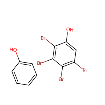 Oc1cc(Br)c(Br)c(Br)c1Br.Oc1ccccc1